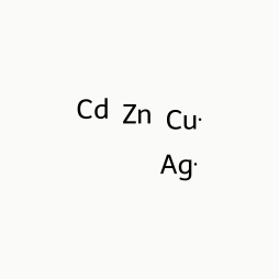 [Ag].[Cd].[Cu].[Zn]